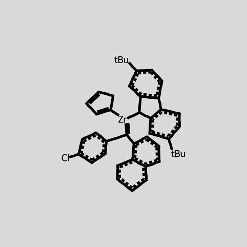 CC(C)(C)c1ccc2c(c1)[CH]([Zr]([C]1=CC=CC1)=[C](c1ccc(Cl)cc1)c1cccc3ccccc13)c1cc(C(C)(C)C)ccc1-2